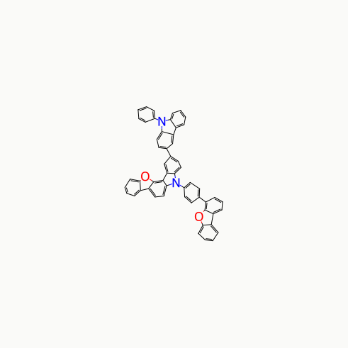 c1ccc(-n2c3ccccc3c3cc(-c4ccc5c(c4)c4c6oc7ccccc7c6ccc4n5-c4ccc(-c5cccc6c5oc5ccccc56)cc4)ccc32)cc1